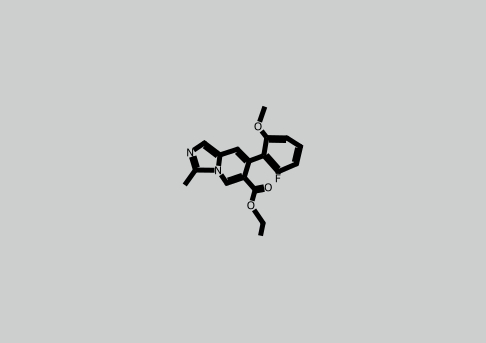 CCOC(=O)c1cn2c(C)ncc2cc1-c1c(F)cccc1OC